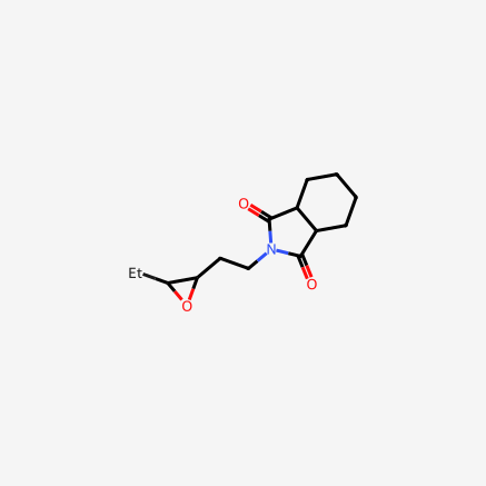 CCC1OC1CCN1C(=O)C2CCCCC2C1=O